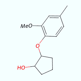 COc1cc(C)ccc1OC1CCCC1O